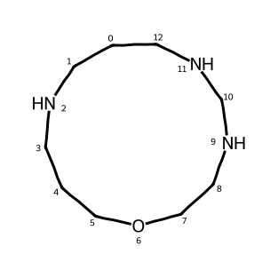 C1CNCCCOCCNCNC1